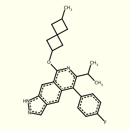 CC1CC2(C1)CC(Oc1nc(C(C)C)c(-c3ccc(F)cc3)c3cc4cn[nH]c4cc13)C2